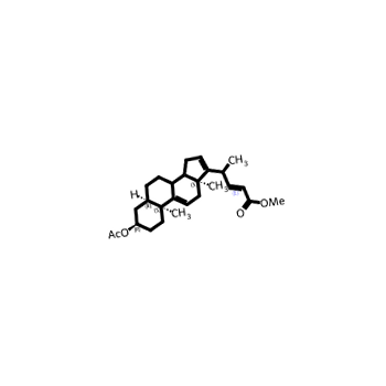 COC(=O)/C=C/C(C)C1=CCC2C3CC[C@@H]4C[C@H](OC(C)=O)CC[C@]4(C)C3=CC[C@]12C